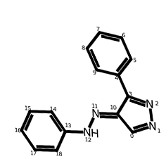 [C]1=NN=C(c2ccccc2)C1=NNc1ccccc1